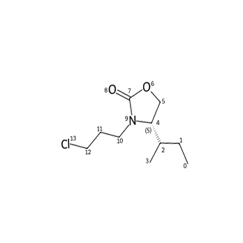 CCC(C)[C@H]1COC(=O)N1CCCCl